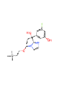 CCC(O)(c1cc(O)cc(F)c1)c1nccn1COCC[Si](C)(C)C